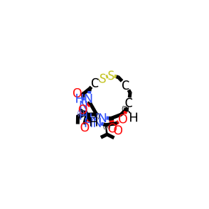 C/C=C1/NC(=O)C2CSSCCCC[C@H](CC(=O)N[C@H](C(C)C)C(=O)N2)OC(=O)[C@@H](C(C)C)NC1=O